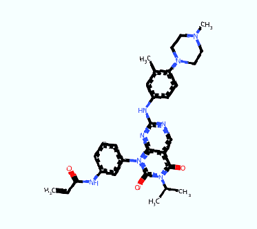 C=CC(=O)Nc1cccc(-n2c(=O)n(C(C)C)c(=O)c3cnc(Nc4ccc(N5CCN(C)CC5)c(C)c4)nc32)c1